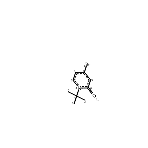 CC(C)(C)n1ccc(Br)cc1=O